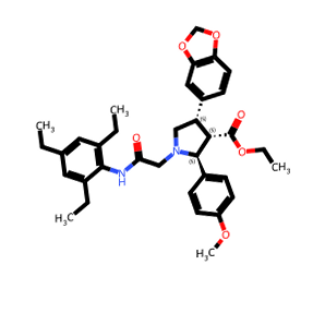 CCOC(=O)[C@H]1[C@@H](c2ccc3c(c2)OCO3)CN(CC(=O)Nc2c(CC)cc(CC)cc2CC)[C@@H]1c1ccc(OC)cc1